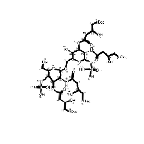 CCCCCCCCCCCC(O)CC(=O)N[C@@H]1C(OP(=O)(O)O)OC(CO[C@@H]2OC(CO)C(OP(=O)(O)O)C(OC(=O)CC(O)CCCCCCCCCCC)[C@@H]2NC(=O)CC(O)CCCCCCCCCCC)[C@@H](O)C1OC(=O)CC(O)CCCCCCCCCCC